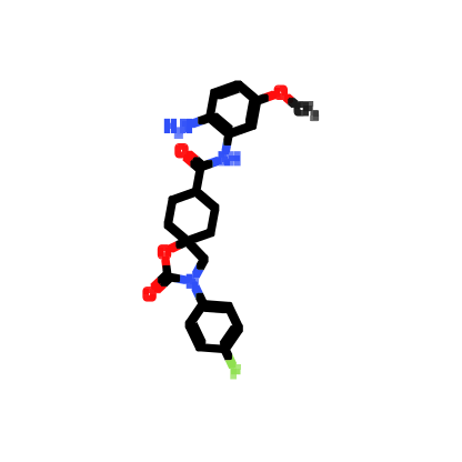 Nc1ccc(OC(F)(F)F)cc1NC(=O)C1CCC2(CC1)CN(c1ccc(F)cc1)C(=O)O2